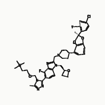 Cc1nnc(-c2ccc3c(nc(CN4CCC(c5cccc6c5O[C@@](C)(c5ccc(Cl)cc5F)O6)CC4)n3C[C@@H]3CCO3)c2F)n1COCC[Si](C)(C)C